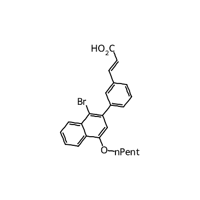 CCCCCOc1cc(-c2cccc(/C=C/C(=O)O)c2)c(Br)c2ccccc12